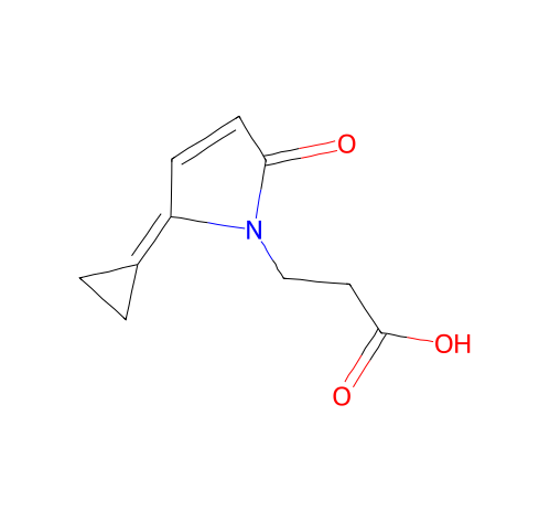 O=C(O)CCN1C(=O)C=CC1=C1CC1